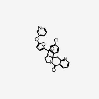 O=C(c1ccc(Oc2cccnc2)o1)N1CCN2C(=O)c3cccnc3CC12c1ccc(Cl)cc1